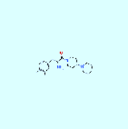 Cc1ccc(CC(N)C(=O)N2CCC(N3CCCCC3)CC2)cc1C